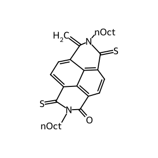 C=c1c2ccc3c4c(ccc(c(=S)n1CCCCCCCC)c42)C(=O)N(CCCCCCCC)C3=S